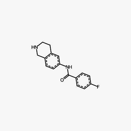 O=C(Nc1ccc2c(c1)CCNC2)c1ccc(F)cc1